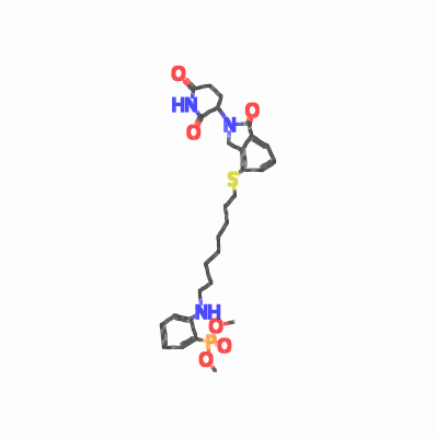 COP(=O)(OC)c1ccccc1NCCCCCCCCSc1cccc2c1CN(C1CCC(=O)NC1=O)C2=O